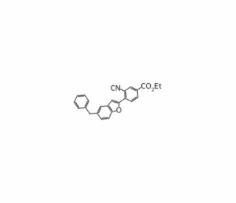 [C-]#[N+]c1cc(C(=O)OCC)ccc1-c1cc2cc(Cc3ccccc3)ccc2o1